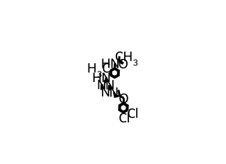 CC(=O)Nc1cccc(Nc2ncnc(N3CC(Oc4ccc(Cl)c(Cl)c4)C3)n2)c1C